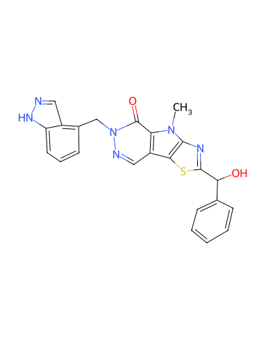 Cn1c2nc(C(O)c3ccccc3)sc2c2cnn(Cc3cccc4[nH]ncc34)c(=O)c21